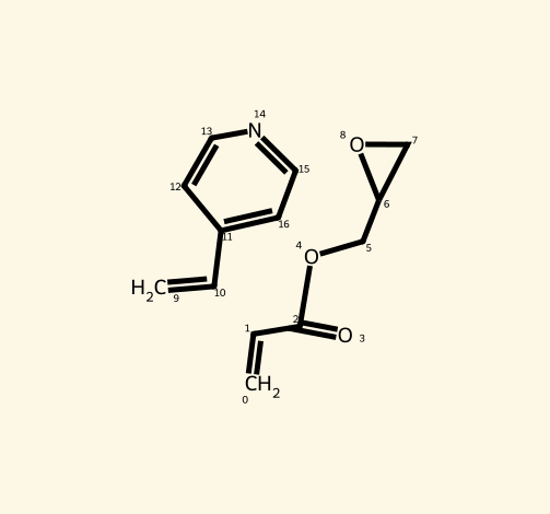 C=CC(=O)OCC1CO1.C=Cc1ccncc1